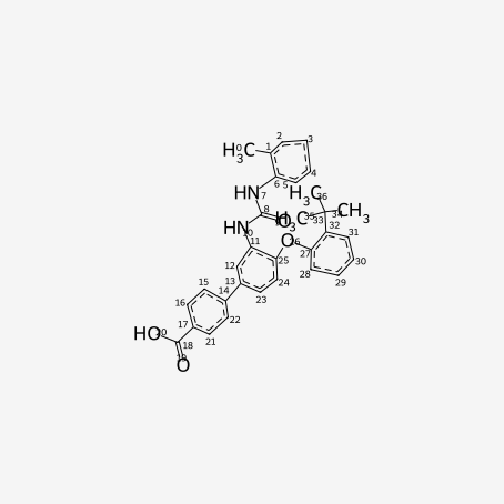 Cc1ccccc1NC(=O)Nc1cc(-c2ccc(C(=O)O)cc2)ccc1Oc1ccccc1C(C)(C)C